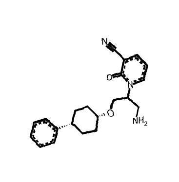 N#Cc1cccn(C(CN)CO[C@H]2CC[C@@H](c3ccccc3)CC2)c1=O